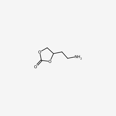 NCCC1COC(=O)O1